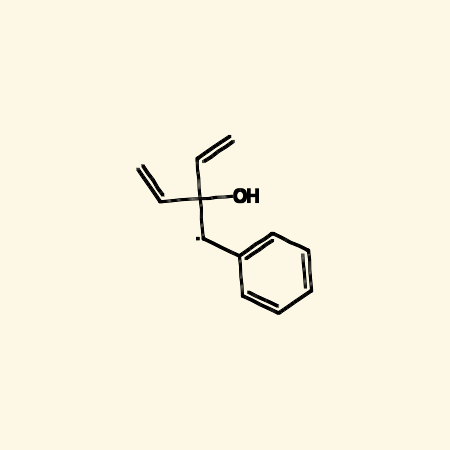 C=CC(O)([CH]c1ccccc1)C=C